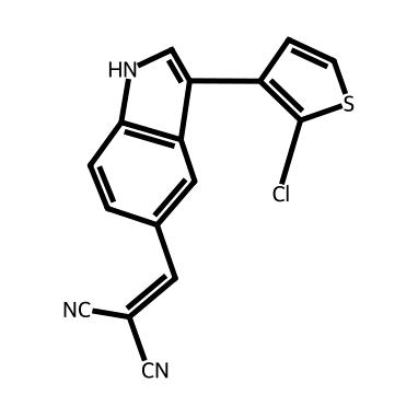 N#CC(C#N)=Cc1ccc2[nH]cc(-c3ccsc3Cl)c2c1